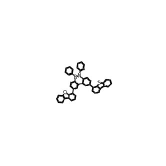 c1ccc(B2c3ccc(-c4cccc5c4oc4ccccc45)cc3-c3cc(-c4cccc5c4sc4ccccc45)ccc3N2c2ccccc2)cc1